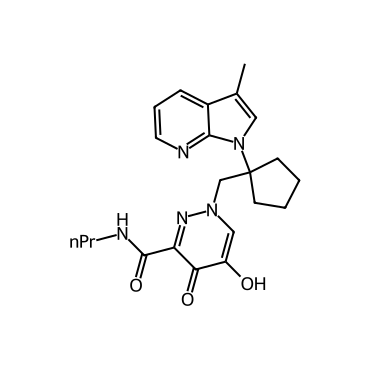 CCCNC(=O)c1nn(CC2(n3cc(C)c4cccnc43)CCCC2)cc(O)c1=O